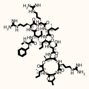 CC[C@@H](C)[C@@H](NC(=O)[C@@H](CCCNC(=N)N)NC(=O)[C@H](CCCNC(=N)N)NC(=O)[C@@H](NC(=O)[C@@H](Cc1ccccc1)NC)[C@@H](C)CC)C(=O)N[C@H](C(=O)N[C@@H](CO)C(=O)N[C@H]1C(=O)N[C@@H](CCCNC(=N)N)C(=O)N[C@@H](CC(C)C)C(=O)N[C@@H]([C@@H](C)CC)C(=O)O[C@H]1C)[C@@H](C)CC